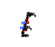 C=C(CCNC(=O)CO/C=C/C=C(/Cl)C(=C)F)NC(=O)CSON1CC1C(C)C